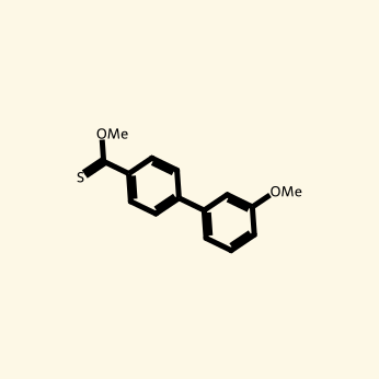 COC(=S)c1ccc(-c2cccc(OC)c2)cc1